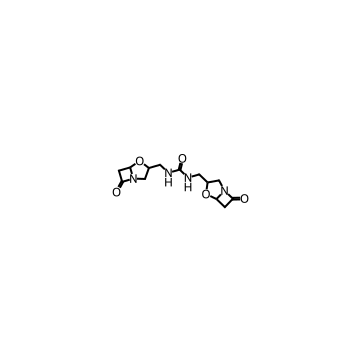 O=C(NCC1CN2C(=O)CC2O1)NCC1CN2C(=O)CC2O1